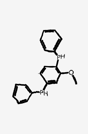 COc1cc(Pc2ccccc2)[c]cc1Pc1ccccc1